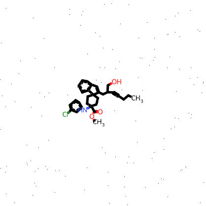 CCCC#CC(CO)CC1=Cc2ccccc2C12CCC(Nc1cccc(Cl)c1)(C(=O)OC)CC2